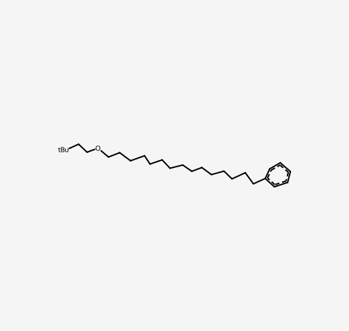 CC(C)(C)CCOCCCCCCCCCCCCCCCc1ccccc1